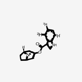 [2H]c1cc([2H])c2[nH]cc(C(=O)OC3CC4CC[C@H](C3)N4C)c2c1[2H]